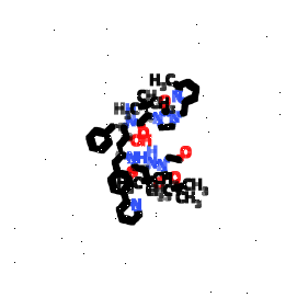 Cc1cccc(CN2CCN([C@H](C(=O)N[C@@H](Cc3ccccc3)[C@@H](O)C[C@H](Cc3ccc(-c4ccccn4)cc3)NC(=O)[C@@H](NN(CC=O)C(=O)OC(C)(C)C)C(C)(C)C)C(C)(C)C)C2=O)n1